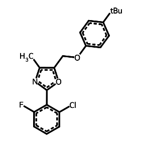 Cc1nc(-c2c(F)cccc2Cl)oc1COc1ccc(C(C)(C)C)cc1